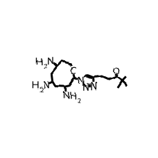 CC(C)(C)C(=O)CCc1cn(C2CCCC(N)CC(N)CC(N)C2)nn1